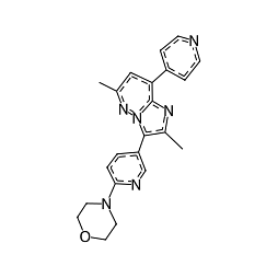 Cc1cc(-c2ccncc2)c2nc(C)c(-c3ccc(N4CCOCC4)nc3)n2n1